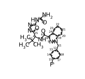 CC(C)(C)C(NC(=O)c1nn(Cc2ccc(F)cc2)c2ccccc12)c1nnc(NC(N)=O)o1